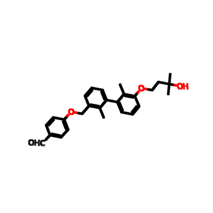 Cc1c(COc2ccc(C=O)cc2)cccc1-c1cccc(OCCC(C)(C)O)c1C